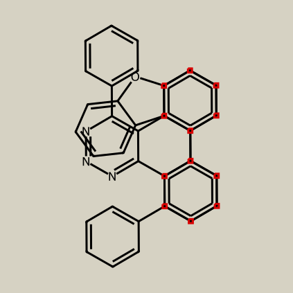 c1ccc(-c2ccccc2-c2c(-c3ccccc3)nnnc2-c2c(-c3ccccc3)cccc2-c2cccc3oc4ccccc4c23)cc1